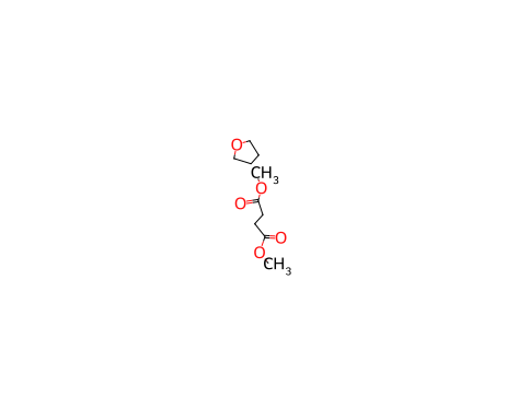 C1CCOC1.COC(=O)CCC(=O)OC